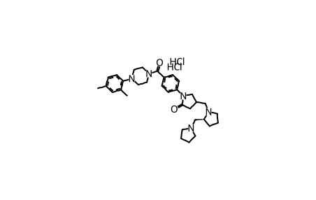 Cc1ccc(N2CCN(C(=O)c3ccc(N4CC(CN5CCC[C@H]5CN5CCCC5)CC4=O)cc3)CC2)c(C)c1.Cl.Cl